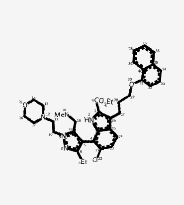 CCOC(=O)c1[nH]c2c(-c3c(CC)nn(CCN4CCOCC4)c3CNC)c(Cl)ccc2c1CCCOc1cccc2ccccc12